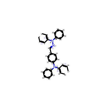 C/C=C\C(=C/C)N(/N=C/c1ccc(N(C(/C=C\C)=C/C)c2ccccc2)cc1)c1ccccc1